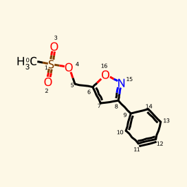 CS(=O)(=O)OCc1cc(-c2cc#ccc2)no1